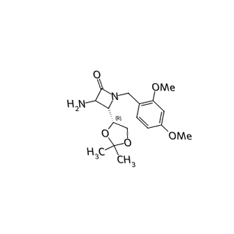 COc1ccc(CN2C(=O)C(N)C2[C@@H]2COC(C)(C)O2)c(OC)c1